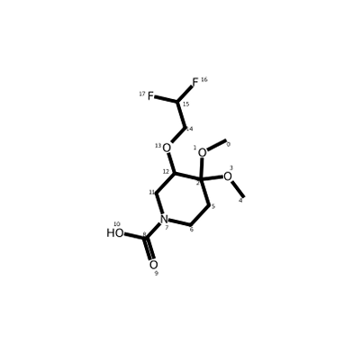 COC1(OC)CCN(C(=O)O)CC1OCC(F)F